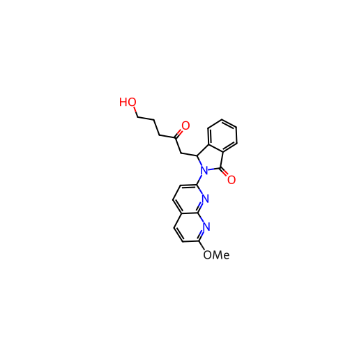 COc1ccc2ccc(N3C(=O)c4ccccc4C3CC(=O)CCCO)nc2n1